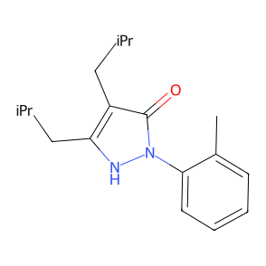 Cc1ccccc1-n1[nH]c(CC(C)C)c(CC(C)C)c1=O